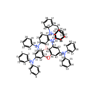 c1ccc(N(c2ccccc2)c2cc3c4c(c2)N(c2ccccc2)c2ccc(N5c6ccccc6Cc6ccccc65)c5c2B4c2c(cc(N(c4ccccc4)c4ccccc4)cc2N5c2ccccc2)O3)cc1